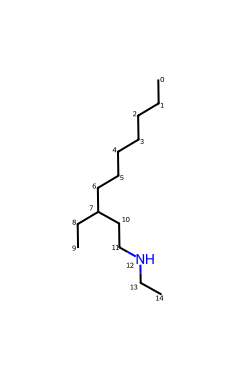 CCCCCCCC(CC)CCNCC